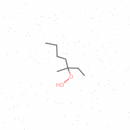 CCCCC(C)(CC)OO